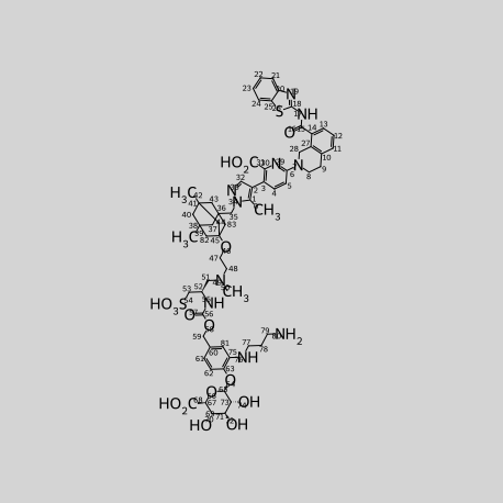 Cc1c(-c2ccc(N3CCc4cccc(C(=O)Nc5nc6ccccc6s5)c4C3)nc2C(=O)O)cnn1CC12CC3(C)CC(C)(C1)CC(OCCN(C)C[C@H](CS(=O)(=O)O)NC(=O)OCc1ccc(O[C@@H]4O[C@H](C(=O)O)[C@@H](O)[C@H](O)[C@H]4O)c(NCCCN)c1)(C3)C2